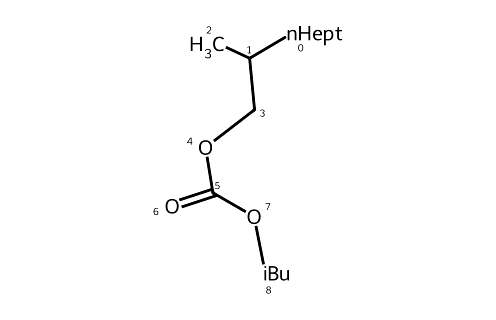 CCCCCCCC(C)COC(=O)OC(C)CC